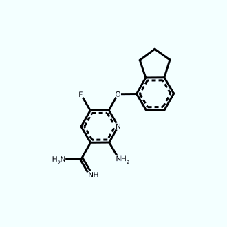 N=C(N)c1cc(F)c(Oc2cccc3c2CCC3)nc1N